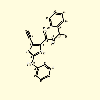 C#Cc1sc(Nc2ccccc2)nc1C(=O)NC(C)c1ccccc1